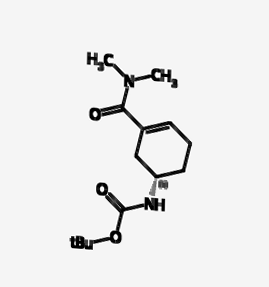 CN(C)C(=O)C1=CCC[C@H](NC(=O)OC(C)(C)C)C1